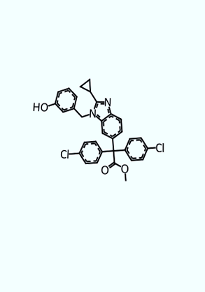 COC(=O)C(c1ccc(Cl)cc1)(c1ccc(Cl)cc1)c1ccc2nc(C3CC3)n(Cc3cccc(O)c3)c2c1